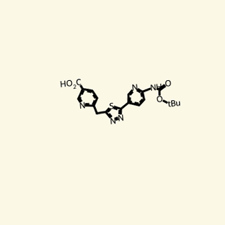 CC(C)(C)OC(=O)Nc1ccc(-c2nnc(Cc3ccc(C(=O)O)cn3)s2)cn1